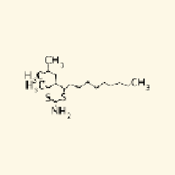 CCCCCCCCCC(SC(N)=S)C(CC)CC(C)C